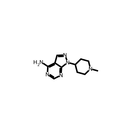 CN1CCC(n2ncc3c(N)ncnc32)CC1